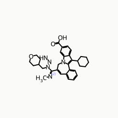 C/N=C(/C1=Cc2ccccc2-c2c(C3CCCCC3)c3ccc(C(=O)O)cc3n2C1)N(CC1CCOCC1)N=N